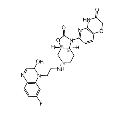 O=C1COc2ccc(N3C(=O)O[C@H]4C[C@@H](NCCN5c6cc(F)ccc6N=CC5O)CC[C@@H]43)nc2N1